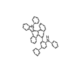 c1ccc(Nc2ccc(-c3ccccc3)cc2-c2cc3ccccc3c3c2c2ccccc2c2c4ccccc4n(-c4ccccc4)c23)cc1